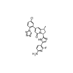 C[C@H]1C[C@@H](c2ncc(-c3ccc(N)nc3F)[nH]2)n2c1cc(-c1cc(Cl)ccc1-n1cnnn1)cc2=O